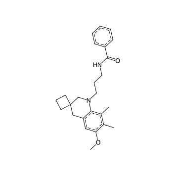 COc1cc2c(c(C)c1C)N(CCCNC(=O)c1ccccc1)CC1(CCC1)C2